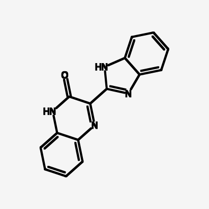 O=c1[nH]c2ccccc2nc1-c1nc2ccccc2[nH]1